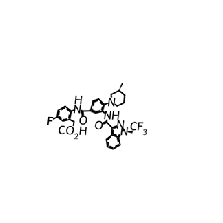 C[C@H]1CCCN(c2ccc(C(=O)Nc3ccc(F)cc3CC(=O)O)cc2NC(=O)c2nn(CC(F)(F)F)c3ccccc23)C1